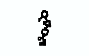 CC(C)(C)OC(=O)N1CCN(c2nc(-c3ccccc3F)cs2)CC1